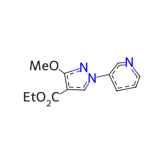 CCOC(=O)c1cn(-c2cccnc2)nc1OC